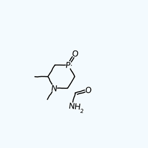 CC1C[P](=O)CCN1C.NC=O